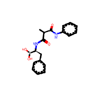 CC(C(=O)Nc1ccccc1)C(=O)N[C@@H](Cc1ccccc1)B(O)O